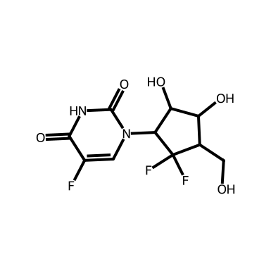 O=c1[nH]c(=O)n(C2C(O)C(O)C(CO)C2(F)F)cc1F